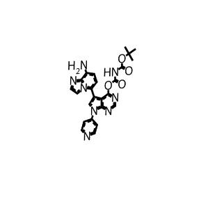 CC(C)(C)OC(=O)NC(=O)Oc1ncnc2c1c(-c1ccc(N)c3nccn13)cn2-c1ccncc1